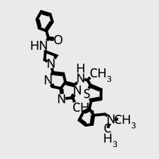 Cc1nc(NC(C)c2ccc(-c3ccccc3CN(C)C)s2)c2cc(N3CC(NC(=O)c4ccccc4)C3)ncc2n1